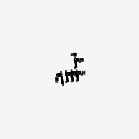 CC(=O)O.CC(=O)O.CC(=O)O.CC(=O)O.CC[CH2][K].[N].[N]